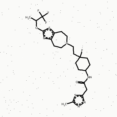 Cc1nnc(CC(=O)NC2CCC(F)(CCN3CCc4nc(OC(C)C(F)(F)F)sc4CC3)CC2)s1